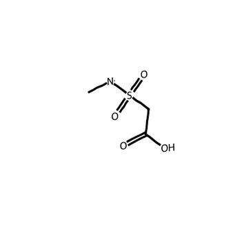 C[N]S(=O)(=O)CC(=O)O